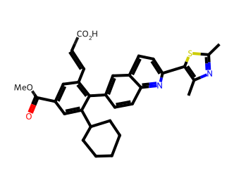 COC(=O)c1cc(C=CC(=O)O)c(-c2ccc3nc(-c4sc(C)nc4C)ccc3c2)c(C2CCCCC2)c1